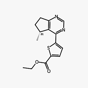 CCOC(=O)c1ccc(-c2ncnc3c2[C@H](C)CC3)s1